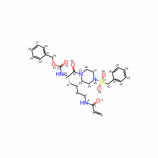 C=CC(=O)NCCCC[C@H](NC(=O)OCc1ccccc1)C(=O)N1CCN(S(=O)(=O)Cc2ccccc2)CC1